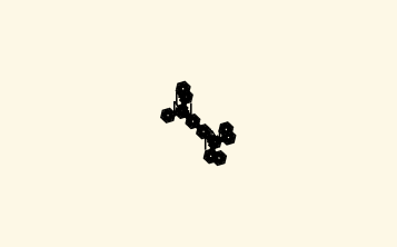 c1ccc(-c2cc(-c3ccc(-c4ccc(-c5nc(-c6cccc7ccccc67)cc(-c6cccc7ccccc67)n5)cc4)cc3)nc(-c3ccc4ccccc4n3)n2)cc1